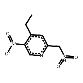 CCc1cc(C[SH](=O)=O)ncc1[N+](=O)[O-]